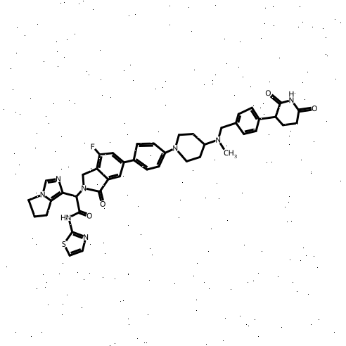 CN(Cc1ccc(C2CCC(=O)NC2=O)cc1)C1CCN(c2ccc(-c3cc(F)c4c(c3)C(=O)N(C(C(=O)Nc3nccs3)c3ncn5c3CCC5)C4)cc2)CC1